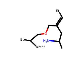 CCC=C(COC[C@H](CC)CCCCC)CC(C)N